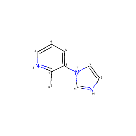 Cc1ncccc1-n1ccnc1